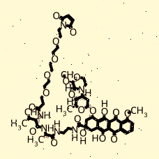 COc1cccc2c1C(=O)c1c(O)c3c(c(O)c1C2=O)C[C@@](O)(C(=O)NCCNC(=O)[C@H](C)NC(=O)[C@@H](NC(=O)CCOCCOCCOCCOCCN1C(=O)C=CC1=O)C(C)C)C[C@@H]3O[C@H]1C[C@H]2[C@H](O[C@@H]3[C@@H](OC)OCCN32)[C@H](C)O1